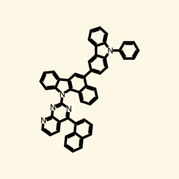 c1ccc(-n2c3ccccc3c3cc(-c4cc5c6ccccc6n(-c6nc(-c7cccc8ccccc78)c7cccnc7n6)c5c5ccccc45)ccc32)cc1